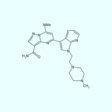 CNc1cc(-c2cn(CCN3CCN(C)CC3)c3ncccc23)nc2c(C(N)=O)cnn12